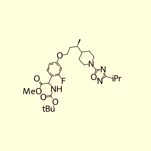 COC(=O)C(NC(=O)OC(C)(C)C)c1ccc(OCC[C@@H](C)C2CCN(c3nc(C(C)C)no3)CC2)cc1F